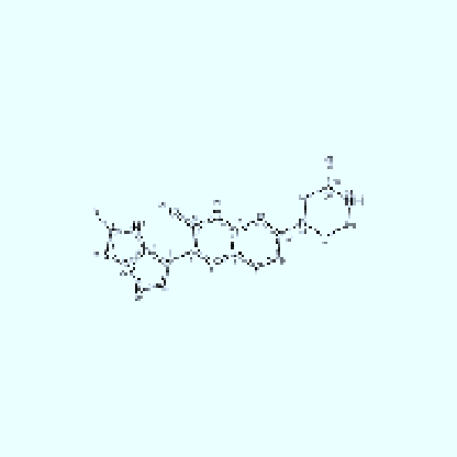 Cc1nn2c(-c3cc4ccc(N5CCN[C@@H](C)C5)cc4oc3=O)cnc2s1